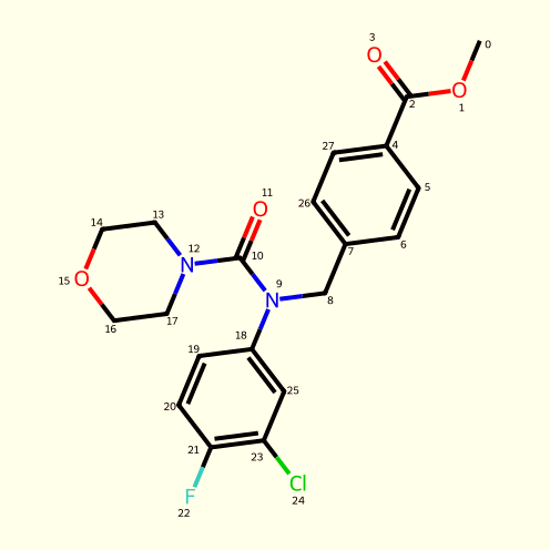 COC(=O)c1ccc(CN(C(=O)N2CCOCC2)c2ccc(F)c(Cl)c2)cc1